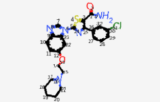 NC(=O)c1sc(-n2cnc3ccc(OCCN4CCCCC4)cc32)nc1-c1cccc(Cl)c1